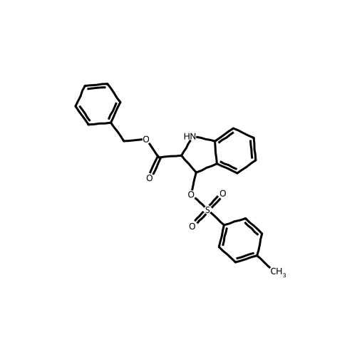 Cc1ccc(S(=O)(=O)OC2c3ccccc3NC2C(=O)OCc2ccccc2)cc1